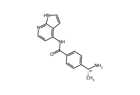 C[C@@H](N)c1ccc(C(=O)Nc2ccnc3[nH]ccc23)cc1